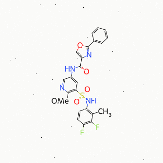 COc1ncc(NC(=O)c2coc(-c3ccccc3)n2)cc1S(=O)(=O)Nc1ccc(F)c(F)c1C